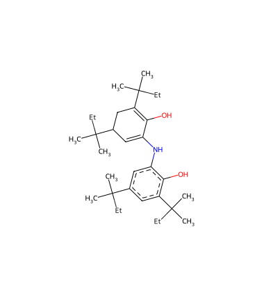 CCC(C)(C)C1=C(O)C(Nc2cc(C(C)(C)CC)cc(C(C)(C)CC)c2O)=CC(C(C)(C)CC)C1